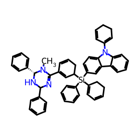 CN1C(C2=CC([Si](C3=CC=CCC3)(c3ccccc3)c3ccc4c(c3)c3ccccc3n4C3=CCCC=C3)CC=C2)=NC(c2ccccc2)N[C@@H]1c1ccccc1